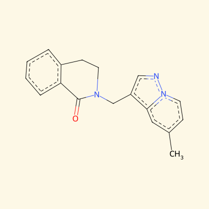 Cc1ccn2ncc(CN3CCc4ccccc4C3=O)c2c1